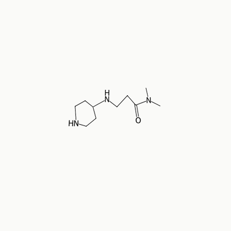 CN(C)C(=O)CCNC1CCNCC1